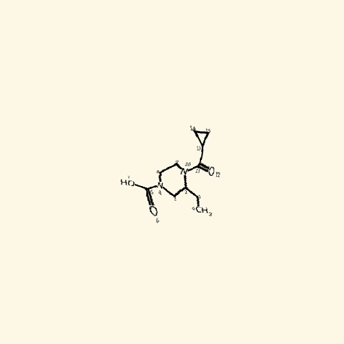 CCC1CN(C(=O)O)CCN1C(=O)C1CC1